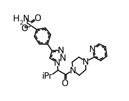 CC(C)C(C(=O)N1CCN(c2ccccn2)CC1)n1cc(-c2ccc(S(N)(=O)=O)cc2)nn1